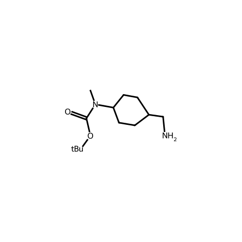 CN(C(=O)OC(C)(C)C)C1CCC(CN)CC1